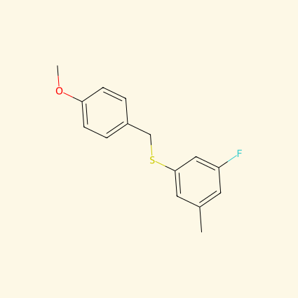 COc1ccc(CSc2cc(C)cc(F)c2)cc1